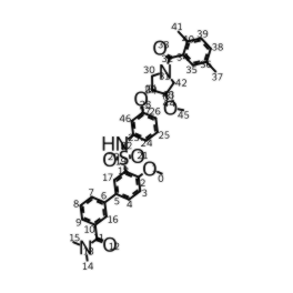 COc1ccc(-c2cccc(C(=O)N(C)C)c2)cc1S(=O)(=O)Nc1cccc(O[C@@H]2CN(C(=O)c3cc(C)ccc3C)C[C@H]2OC)c1